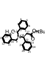 C[C@H](c1ccccc1)N(Cc1ccccc1)[C@@H](CC(=O)OC(C)(C)C)c1ccccc1